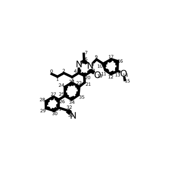 CCCCc1nc(C)n(Cc2ccc(OC)cc2)c(=O)c1Cc1ccc(-c2ccccc2C#N)cc1